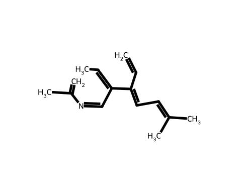 C=CC(=C\C=C(C)C)/C(/C=N\C(=C)C)=C/C